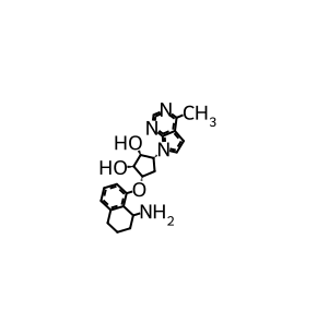 Cc1ncnc2c1ccn2[C@@H]1C[C@H](Oc2cccc3c2C(N)CCC3)[C@@H](O)[C@H]1O